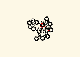 c1cc(-c2ccc3c(c2)B2c4cc(-c5cc(-n6c7ccccc7c7ccccc76)cc(-n6c7ccccc7c7ccc8c9ccccc9oc8c76)n5)ccc4Oc4cccc(c42)O3)nc(-n2c3ccccc3c3ccc4c5ccccc5oc4c32)c1